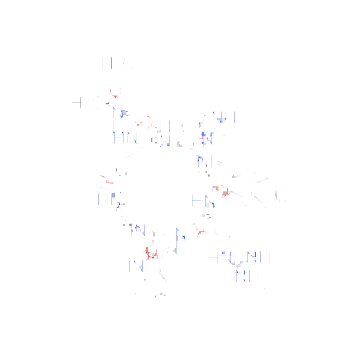 CCCC[C@@H](NC(C)=O)C(=O)NC1CCC(=O)NCCNC(=O)[C@@H](Cc2c[nH]c3ccccc23)NC(=O)[C@H](CCCNC(=N)N)NC(=O)[C@@H](Cc2ccc3ccccc3c2)NC(=O)[C@H](Cc2c[nH]cn2)NC1=O